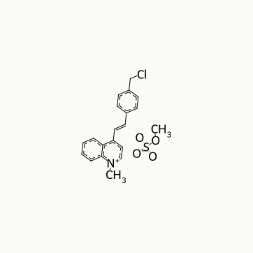 COS(=O)(=O)[O-].C[n+]1ccc(C=Cc2ccc(CCl)cc2)c2ccccc21